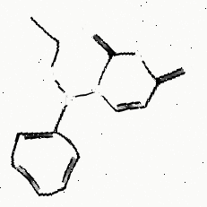 CCON(c1ccccc1)n1ccc(=O)[nH]c1=O